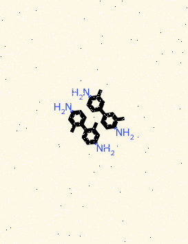 Cc1cc(-c2ccc(N)c(C)c2)ccc1N.Cc1cc(N)ccc1-c1ccc(N)cc1C